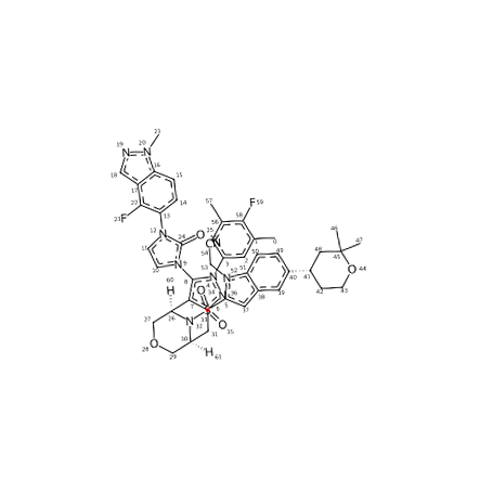 Cc1cc(-n2nc3c(c2-n2ccn(-c4ccc5c(cnn5C)c4F)c2=O)[C@@H]2COC[C@H](C3)N2S(=O)(=O)c2cc3cc([C@H]4CCOC(C)(C)C4)ccc3n2CC#N)cc(C)c1F